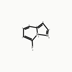 Fc1cccc2ccnn12